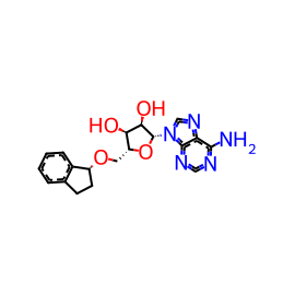 Nc1ncnc2c1ncn2[C@@H]1O[C@H](CO[C@@H]2CCc3ccccc32)[C@@H](O)[C@H]1O